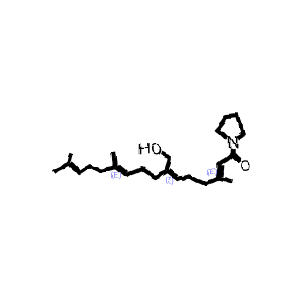 CC(C)=CCC/C(C)=C/CC/C(=C/CC/C(C)=C/C(=O)N1CCCC1)CO